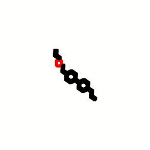 C=CCOCCC1CCC(C2CCC(CCC)CC2)CC1